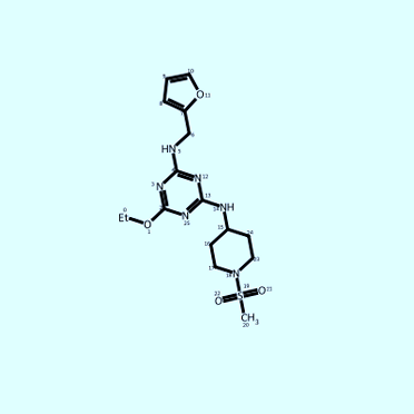 CCOc1nc(NCc2ccco2)nc(NC2CCN(S(C)(=O)=O)CC2)n1